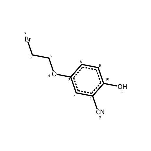 N#Cc1cc(OCCBr)ccc1O